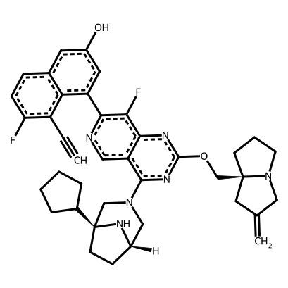 C#Cc1c(F)ccc2cc(O)cc(-c3ncc4c(N5C[C@@H]6CC[C@](C7CCCC7)(C5)N6)nc(OC[C@@]56CCCN5CC(=C)C6)nc4c3F)c12